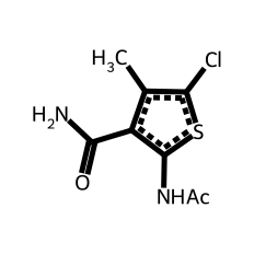 CC(=O)Nc1sc(Cl)c(C)c1C(N)=O